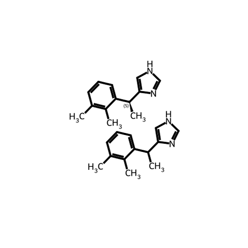 Cc1cccc(C(C)c2c[nH]cn2)c1C.Cc1cccc([C@H](C)c2c[nH]cn2)c1C